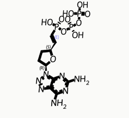 Nc1nc(N)c2nnn([C@H]3CC[C@@H](/C=C/P(=O)(O)OP(=O)(O)OP(=O)(O)O)O3)c2n1